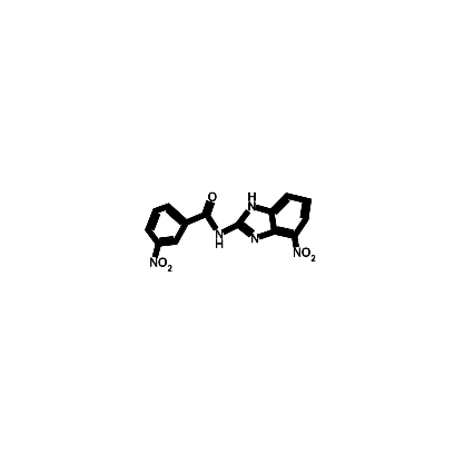 O=C(Nc1nc2c([N+](=O)[O-])cccc2[nH]1)c1cccc([N+](=O)[O-])c1